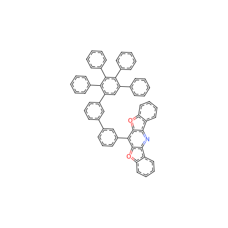 c1ccc(-c2cc(-c3cccc(-c4cccc(-c5c6oc7ccccc7c6nc6c5oc5ccccc56)c4)c3)c(-c3ccccc3)c(-c3ccccc3)c2-c2ccccc2)cc1